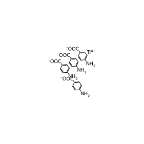 Nc1ccc(C(=O)[O-])cc1.Nc1ccc(C(=O)[O-])cc1.Nc1ccc(C(=O)[O-])cc1.Nc1ccc(C(=O)[O-])cc1.[Ti+4]